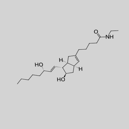 CCCCC[C@H](O)/C=C/[C@@H]1[C@H]2CC(CCCCC(=O)NCC)=C[C@H]2C[C@H]1O